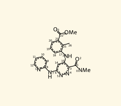 CNC(=O)c1nnc(Nc2ccccn2)cc1Nc1cccc(C(=O)OC)c1C